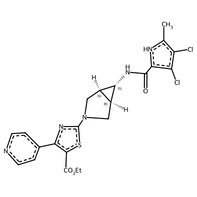 CCOC(=O)c1sc(N2C[C@@H]3[C@H](C2)[C@H]3NC(=O)c2[nH]c(C)c(Cl)c2Cl)nc1-c1ccncc1